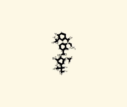 CCN(C(=O)c1ccc(F)c(C(F)(F)F)c1)c1cccc(C(=O)Nc2c(Br)cc(C(F)(C(F)(F)F)C(F)(F)F)cc2OC(F)F)c1F